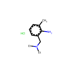 CCN(CC)Cc1cccc(C)c1N.Cl